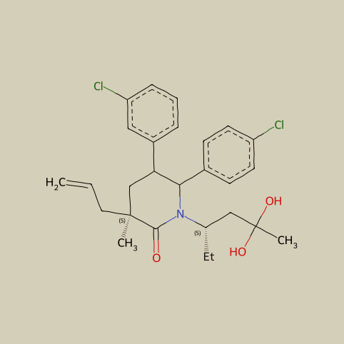 C=CC[C@@]1(C)CC(c2cccc(Cl)c2)C(c2ccc(Cl)cc2)N([C@@H](CC)CC(C)(O)O)C1=O